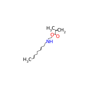 C=C(C)C(=O)OCCNCCC=CCCC=CC